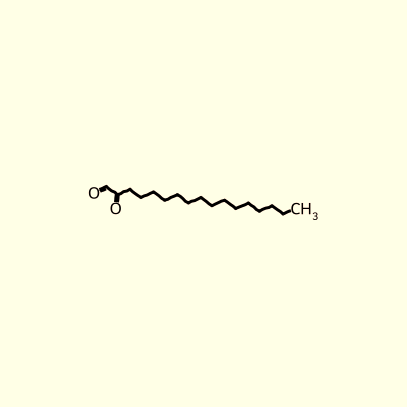 CCCCCCCCCCCCCCCC(=O)C=O